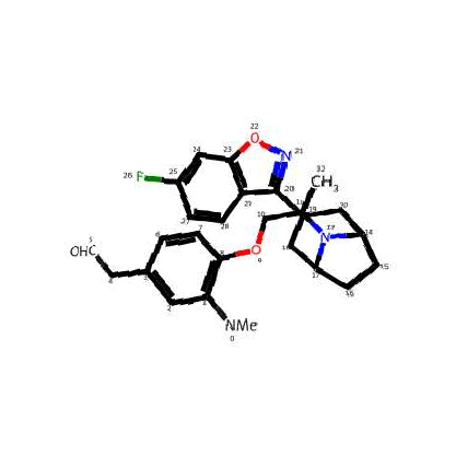 CNc1cc(CC=O)ccc1OCC(C)N1C2CCC1CC(c1noc3cc(F)ccc13)C2